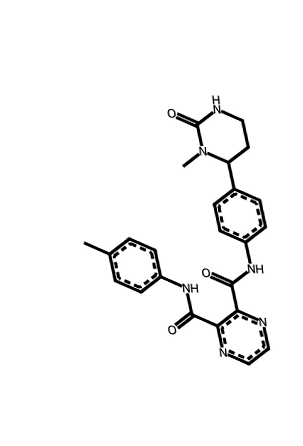 Cc1ccc(NC(=O)c2nccnc2C(=O)Nc2ccc(C3CCNC(=O)N3C)cc2)cc1